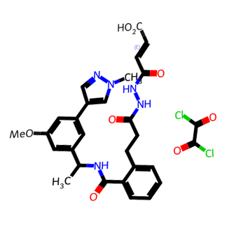 COc1cc(-c2cnn(C)c2)cc(C(C)NC(=O)c2ccccc2CCC(=O)NNC(=O)/C=C/C(=O)O)c1.O=C(Cl)C(=O)Cl